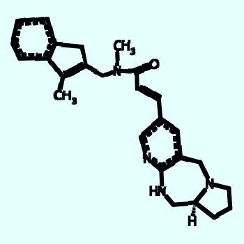 CC1=C(CN(C)C(=O)/C=C/c2cnc3c(c2)CN2CCC[C@H]2CN3)Cc2ccccc21